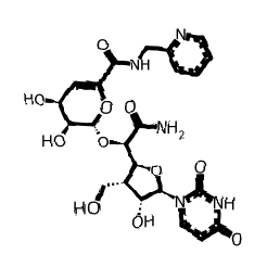 NC(=O)[C@H](O[C@H]1OC(C(=O)NCc2ccccn2)=C[C@H](O)[C@@H]1O)[C@H]1O[C@@H](n2ccc(=O)[nH]c2=O)[C@H](O)[C@@H]1CO